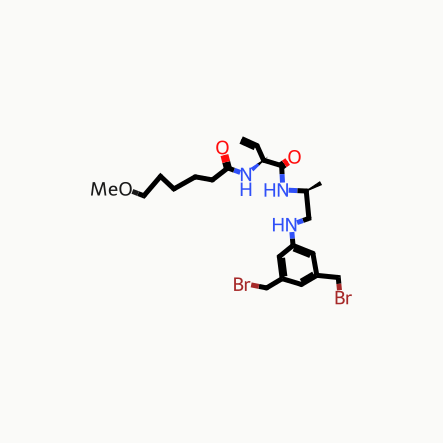 C=C[C@H](NC(=O)CCCCCOC)C(=O)N[C@@H](C)CNc1cc(CBr)cc(CBr)c1